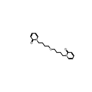 O=c1ccccn1CCCCOCCCCn1ccccc1=O